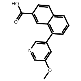 COc1cncc(-c2cccc3ccc(C(=O)O)cc23)c1